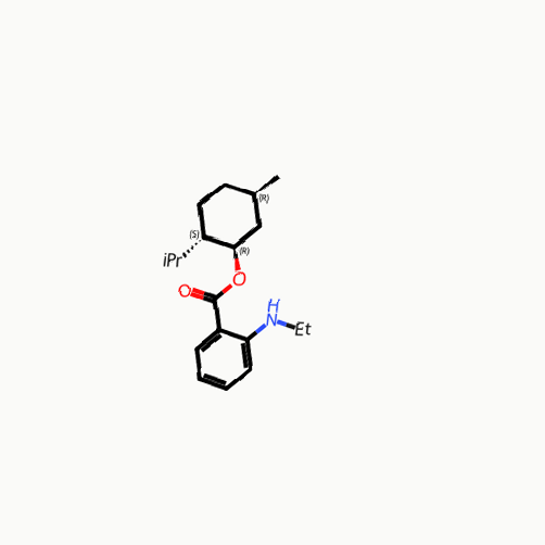 CCNc1ccccc1C(=O)O[C@@H]1C[C@H](C)CC[C@H]1C(C)C